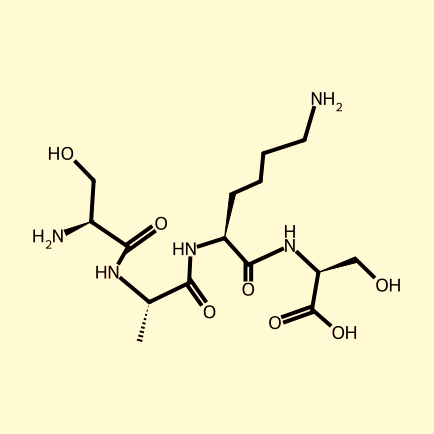 C[C@H](NC(=O)[C@@H](N)CO)C(=O)N[C@@H](CCCCN)C(=O)N[C@@H](CO)C(=O)O